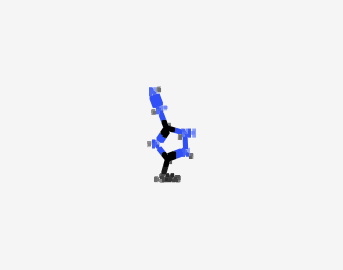 CSc1n[nH]c([N+]#N)n1